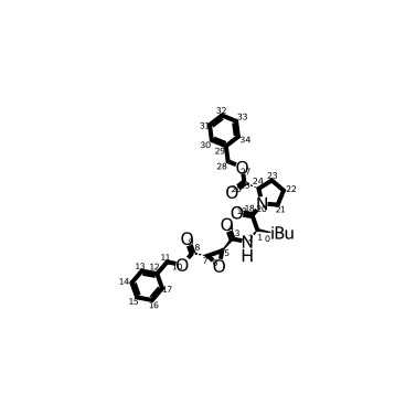 CC[C@H](C)[C@H](NC(=O)[C@H]1O[C@@H]1C(=O)OCc1ccccc1)C(=O)N1CCC[C@H]1C(=O)OCc1ccccc1